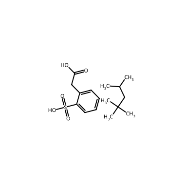 CC(C)CC(C)(C)C.O=C(O)Cc1ccccc1S(=O)(=O)O